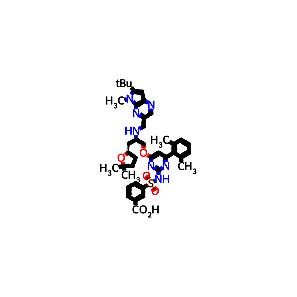 Cc1cccc(C)c1-c1cc(OCC(C[C@H]2CCC(C)(C)O2)NCc2cnc3cc(C(C)(C)C)n(C)c3n2)nc(NS(=O)(=O)c2cccc(C(=O)O)c2)n1